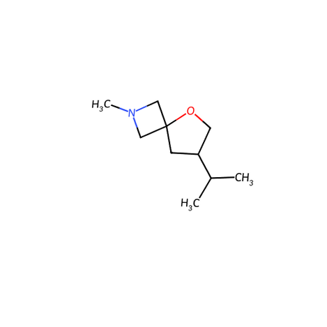 CC(C)C1COC2(C1)CN(C)C2